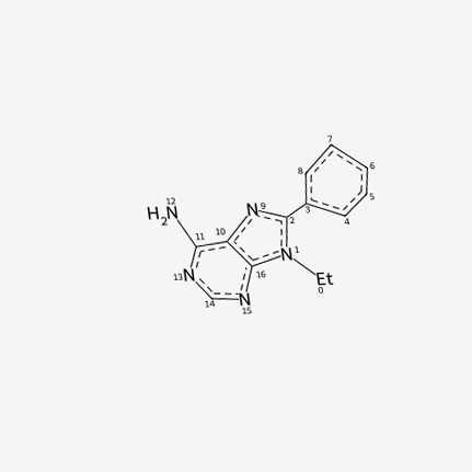 CCn1c(-c2ccccc2)nc2c(N)ncnc21